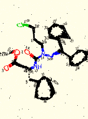 CC(C)(C)OC(=O)[C@@H](Cc1ccccc1)NC(=O)N(CCCCl)N=C(c1ccccc1)c1ccccc1